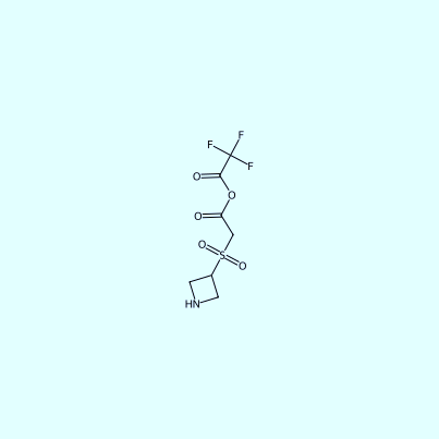 O=C(CS(=O)(=O)C1CNC1)OC(=O)C(F)(F)F